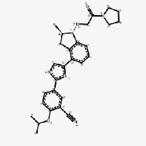 CC(C)Oc1ccc(-c2ncc(-c3cccc4c3C[C@@H](C)[C@@H]4NCC(=O)N3CCCC3)s2)cc1C#N